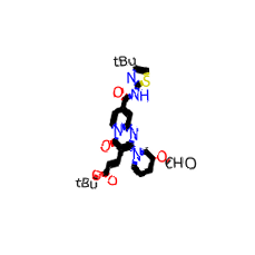 CC(C)(C)OC(=O)C=Cc1c(N2CCC[C@@H](OC=O)C2)nc2cc(C(=O)Nc3nc(C(C)(C)C)cs3)ccn2c1=O